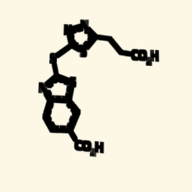 O=C(O)CCc1nnc(Sc2nc3ccc(C(=O)O)cc3s2)s1